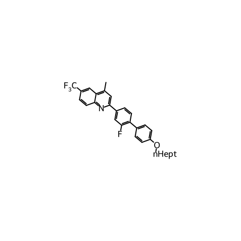 CCCCCCCOc1ccc(-c2ccc(-c3cc(C)c4cc(C(F)(F)F)ccc4n3)cc2F)cc1